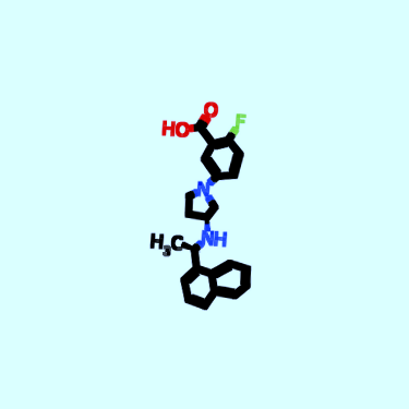 C[C@@H](N[C@H]1CCN(c2ccc(F)c(C(=O)O)c2)C1)c1cccc2ccccc12